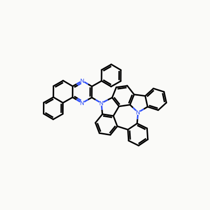 c1ccc(-c2nc3ccc4ccccc4c3nc2-n2c3cccc4c5ccccc5n5c6ccccc6c6ccc2c(c43)c65)cc1